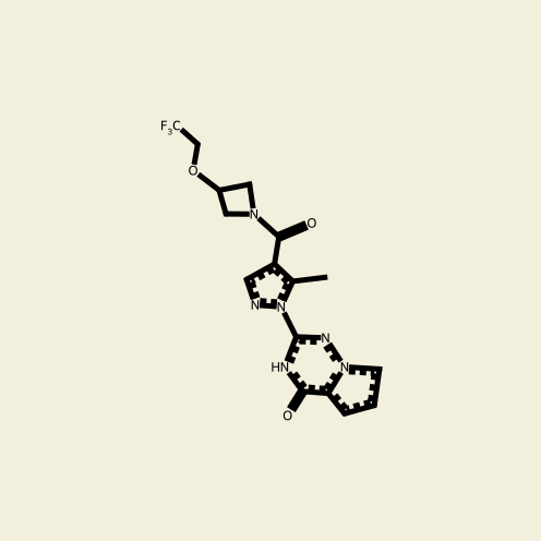 Cc1c(C(=O)N2CC(OCC(F)(F)F)C2)cnn1-c1nn2cccc2c(=O)[nH]1